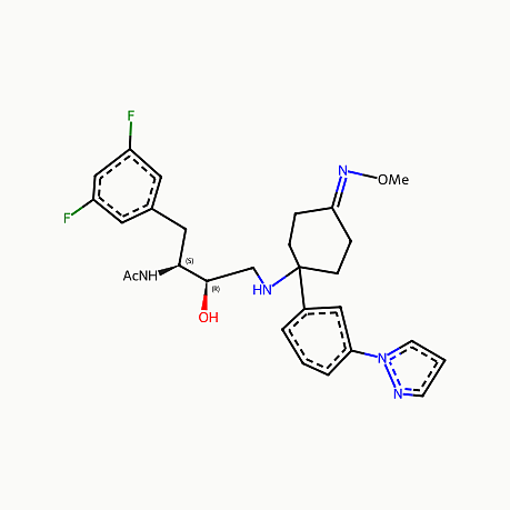 CON=C1CCC(NC[C@@H](O)[C@H](Cc2cc(F)cc(F)c2)NC(C)=O)(c2cccc(-n3cccn3)c2)CC1